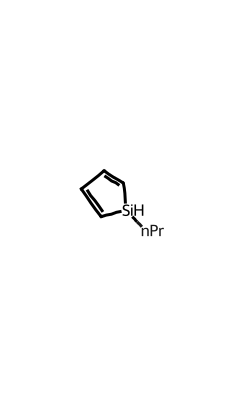 CCC[SiH]1C=CC=C1